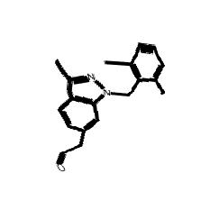 Cc1cccc(C)c1Cn1nc(C)c2ccc(CC=O)cc21